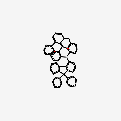 C1=CC2CC=CC(c3ccccc3N(c3ccccc3)c3cccc4c3-c3ccccc3C4(c3ccccc3)c3ccccc3)=C2C(c2ccccc2)=C1